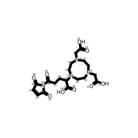 O=C(O)CN1CCN(CC(=O)O)CCN(C(CCC(=O)N2C(=O)C=CC2=O)C(=O)O)CC1